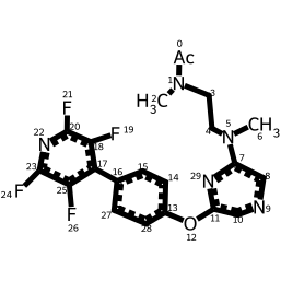 CC(=O)N(C)CCN(C)c1cncc(Oc2ccc(-c3c(F)c(F)nc(F)c3F)cc2)n1